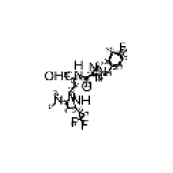 CN(C)C1=CC(C2CC2(F)F)NN1CCC(C=O)NC(=O)c1ncn(Cc2ccc(F)cc2)n1